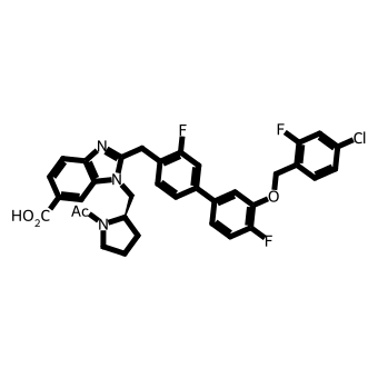 CC(=O)N1CCC[C@@H]1Cn1c(Cc2ccc(-c3ccc(F)c(OCc4ccc(Cl)cc4F)c3)cc2F)nc2ccc(C(=O)O)cc21